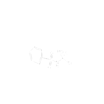 CCC(NS(=O)(=O)c1ccccc1)C(=O)O